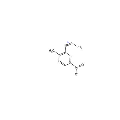 C/C=N\c1cc([N+](=O)[O-])ccc1C